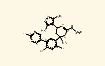 Cc1noc(C)c1C1CC(C)(c2cc(-c3cnc(F)nc3)c(F)cc2F)SC(NC(=O)O)=N1